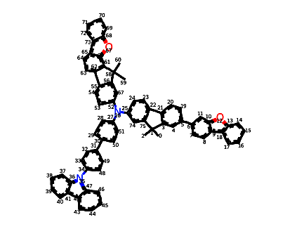 CC1(C)c2cc(-c3ccc4c(c3)oc3ccccc34)ccc2-c2ccc(N(c3ccc(-c4ccc(-n5c6ccccc6c6ccccc65)cc4)cc3)c3ccc4c(c3)C(C)(C)c3c-4ccc4c3oc3ccccc34)cc21